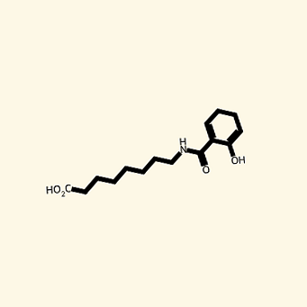 O=C(O)CCCCCCCNC(=O)C1=CCCC=C1O